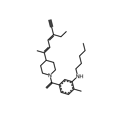 C#C/C(=C/C=C(\C)C1CCN(C(=C)c2ccc(C)c(NCCCCC)c2)CC1)CC